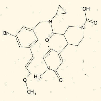 COC/C=C/c1cc(Br)cc(CN(C(=O)C2CN(C(=O)O)CCC2c2ccn(C)c(=O)c2)C2CC2)c1